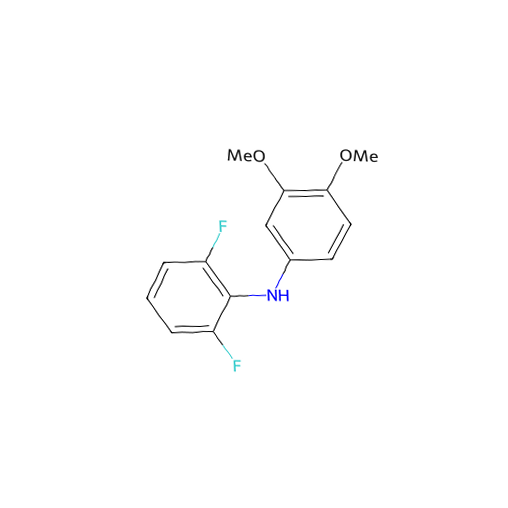 COc1ccc(Nc2c(F)cccc2F)cc1OC